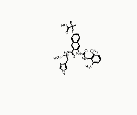 Cc1cccc(C)c1NC(=O)Nc1cc2ccccc2cc1C(=O)N[C@@H](Cc1c[nH]cn1)C(=O)O.O=C(O)C(F)(F)F